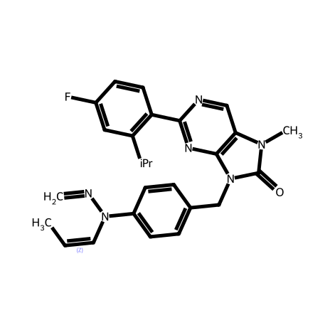 C=NN(/C=C\C)c1ccc(Cn2c(=O)n(C)c3cnc(-c4ccc(F)cc4C(C)C)nc32)cc1